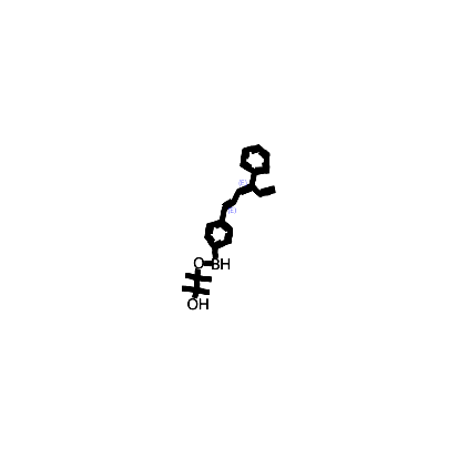 C=C/C(=C\C=C\c1ccc(BOC(C)(C)C(C)(C)O)cc1)c1ccccc1